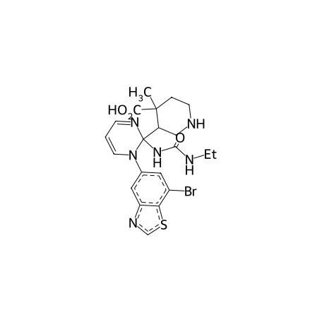 CCNC(=O)NC1(C2CNCCC2(C)C(=O)O)N=CC=CN1c1cc(Br)c2scnc2c1